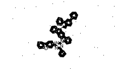 c1ccc(C2=NC(n3c4ccccc4c4cc5c(cc43)-c3ccccc3[C@@H]5CCc3ccc(-c4ccccc4)cc3-c3ccccc3)NC(c3ccc4c(c3)oc3ccccc34)=N2)cc1